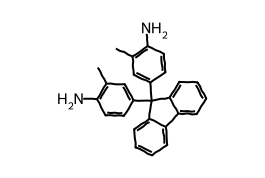 Cc1cc(C2(c3ccc(N)c(C)c3)c3ccccc3-c3ccccc32)ccc1N